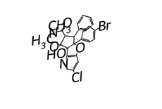 CN(C)C(=O)C1C(=O)C2(O)c3ncc(Cl)cc3OC2(c2ccc(Br)cc2)C1c1ccccc1